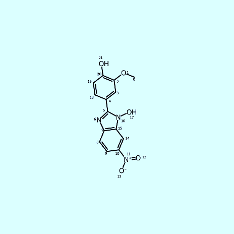 COc1cc(-c2nc3ccc([N+](=O)[O-])cc3n2O)ccc1O